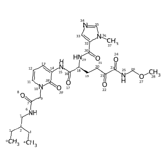 CCC(CC)CNC(=O)Cn1cccc(NC(=O)[C@H](CCC(=O)C(=O)NCOC)NC(=O)c2cncn2C)c1=O